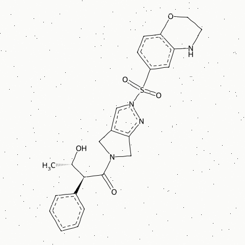 C[C@H](O)[C@@H](C(=O)N1Cc2cn(S(=O)(=O)c3ccc4c(c3)NCCO4)nc2C1)c1ccccc1